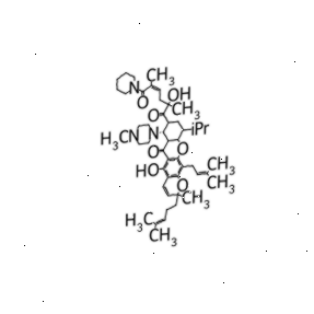 CC(C)=CCCC1(C)C=Cc2c(O)c3c(c(CC=C(C)C)c2O1)OC1C(C(C)C)CC(C(=O)C(C)(O)C/C=C(/C)C(=O)N2CCCCC2)[C@@H](N2CCN(C)CC2)C1C3=O